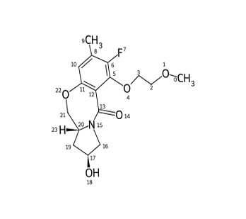 COCCOc1c(F)c(C)cc2c1C(=O)N1C[C@@H](O)C[C@@H]1CO2